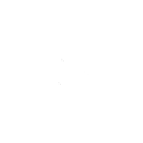 CN(C)Cc1c[nH]c2cccc(C(C)(C)C)c12